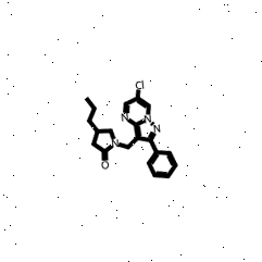 CCCC1CC(=O)N(Cc2c(-c3ccccc3)nn3cc(Cl)cnc23)C1